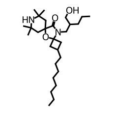 CCCCCCCCC1CC2(C1)OC1(CC(C)(C)NC(C)(C)C1)C(=O)N2CC(CO)CCC